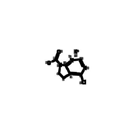 O=C([O-])N1CCc2c(Cl)ncnc21.[K+]